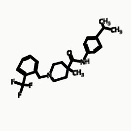 CC(C)c1ccc(NC(=O)C2(C)CCN(Cc3ccccc3C(F)(F)F)CC2)cc1